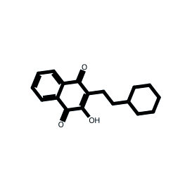 O=C1C(O)=C(CCC2CCCCC2)C(=O)c2ccccc21